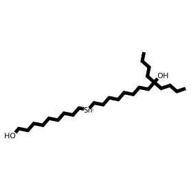 CCCCC(O)(CCCC)CCCCCCC[CH2][Sn][CH2]CCCCCCCCO